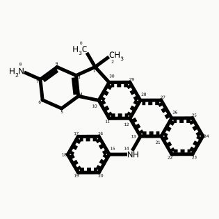 CC1(C)C2=C(CCC(N)=C2)c2cc3c(Nc4ccccc4)c4ccccc4cc3cc21